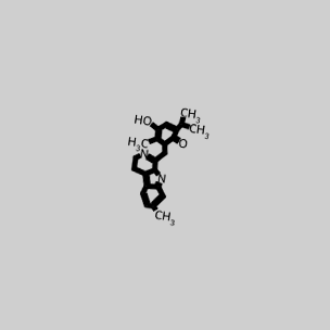 CC1=C(O)C=C(C(C)C)C(=O)C1CC1=NCCC2=c3ccc(C)cc3=NC12